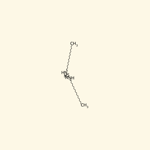 CCCCCCCCCCCCCCCCC=CNc1nnc(NC=CCCCCCCCCCCCCCCCC)s1